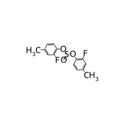 Cc1ccc(OS(=O)Oc2ccc(C)cc2F)c(F)c1